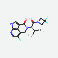 CC(C)[C@H](C(=O)N1CC(F)(F)C1)N1Cc2c(F)cnc3[nH]cc(c23)C1=O